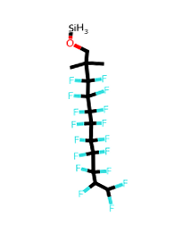 CC(C)(CO[SiH3])C(F)(F)C(F)(F)C(F)(F)C(F)(F)C(F)(F)C(F)(F)C(F)(F)C(F)C(F)F